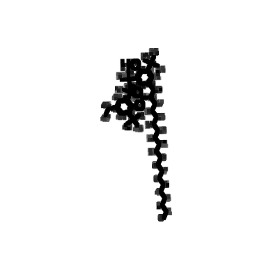 CCCCCCCCCCCCCCCCCCC(Cc1cc(C(C)(C)C)c(O)c(C(C)(C)C)c1)C(=O)Oc1c(C(C)(C)C)cc(CC)cc1C(C)(C)C